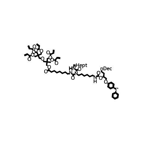 C=CC(=O)OCC(COCC(COC(=O)C=C)(COC(=O)C=C)COC(=O)CCCCCCCNC(=O)N(CCCCCCNC(=O)OC(CCCCCCCCCCCC)COc1ccc([I+]c2ccccc2)cc1)C(=O)NCCCCCCC)(COC(=O)C=C)COC(=O)C=C